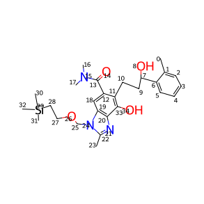 Cc1ccccc1C(O)CCc1c(C(=O)N(C)C)cc2c(nc(C)n2COCC[Si](C)(C)C)c1O